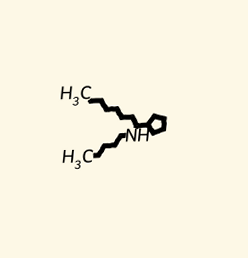 CCCCCCCC(NCCCCC)C1CCCC1